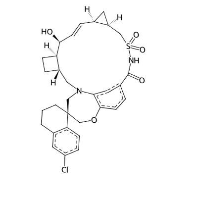 O=C1NS(=O)(=O)C[C@@H]2C[C@@H]2/C=C/[C@H](O)[C@@H]2CC[C@H]2CN2C[C@@]3(CCCc4cc(Cl)ccc43)COc3ccc1cc32